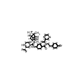 C[C@@H]1[C@@H](N=C(Nc2ccc3c(=O)n(CCc4ccc(Br)cc4)c(-c4cnccn4)nc3c2)N2CCN[C@@H](C(F)F)C2)C[C@H]2C[C@@H]1C2(C)C